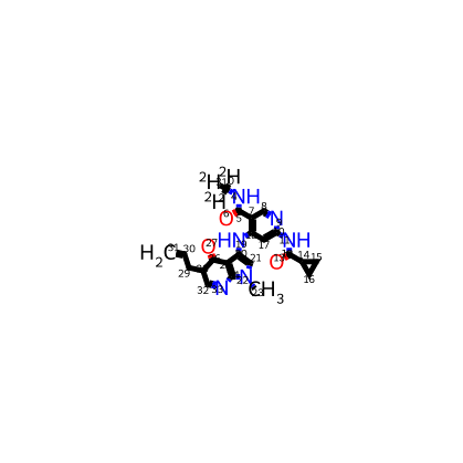 [2H]C([2H])([2H])NC(=O)c1cnc(NC(=O)C2CC2)cc1Nc1cn(C)c2c1C(=O)C(CC=C)C=N2